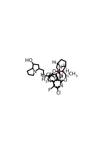 C[C@@H]1Oc2nc(Cl)c(F)c3nc(OCC4CC(O)C5CCCN45)nc(c23)N2C[C@H]3CC[C@@H]([C@@H]12)N3C(=O)OC(C)(C)C